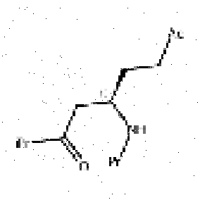 CC(=O)CC[C@H](CC(=O)C(C)C)NC(C)C